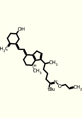 C=CCON=C(CCCC(C)C1=CCC2=C1[C@H](C)CCC2=CC=C1CC(O)CCC1=C)C(C)(C)C